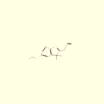 CCOc1ccc2c(c1)C(C)(C)C(CC=O)=N2